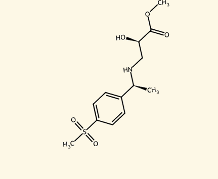 COC(=O)[C@H](O)CN[C@@H](C)c1ccc(S(C)(=O)=O)cc1